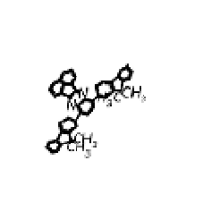 CC1(C)c2ccccc2-c2ccc(-c3ccc(-c4ccc5c(c4)C(C)(C)c4ccccc4-5)c4nc5c(nc34)-c3cccc4cccc-5c34)cc21